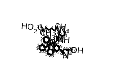 CN(CCCCN(C)c1nccc2[nH]c(-c3nn(C(c4ccccc4)(c4ccccc4)c4ccccc4)c4ccc(-c5cncc(CO)c5)cc34)nc12)C(=O)O